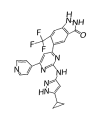 O=c1[nH][nH]c2cc(C(F)(F)F)c(-c3cc(-c4ccncc4)nc(Nc4cc(C5CC5)[nH]n4)n3)cc12